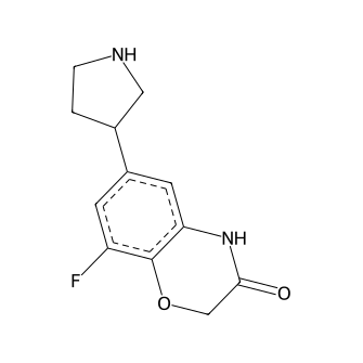 O=C1COc2c(F)cc(C3CCNC3)cc2N1